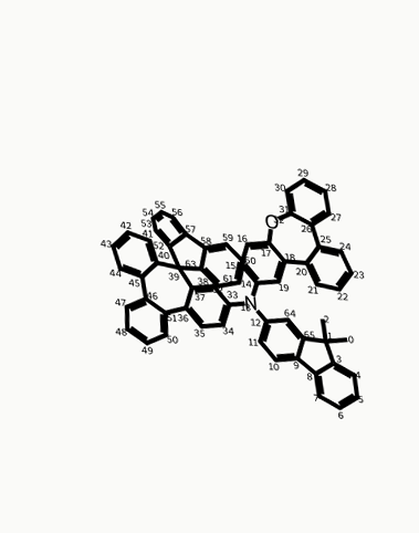 CC1(C)c2ccccc2-c2ccc(N(c3ccc4c(c3)-c3ccccc3-c3ccccc3O4)c3ccc4c(c3)C3(c5ccccc5-c5ccccc5-4)c4ccccc4-c4ccccc43)cc21